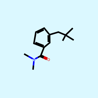 CN(C)C(=O)c1cccc(CC(C)(C)C)c1